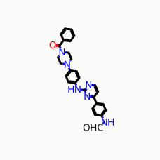 O=CNc1ccc(-c2ccnc(Nc3ccc(N4CCN(C(=O)c5ccccc5)CC4)cc3)n2)cc1